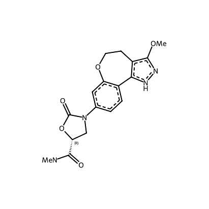 CNC(=O)[C@H]1CN(c2ccc3c(c2)OCCc2c(OC)n[nH]c2-3)C(=O)O1